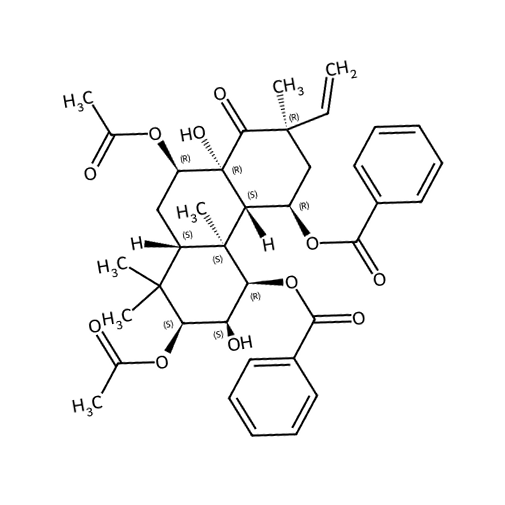 C=C[C@@]1(C)C[C@@H](OC(=O)c2ccccc2)[C@H]2[C@](O)(C1=O)[C@H](OC(C)=O)C[C@H]1C(C)(C)[C@H](OC(C)=O)[C@H](O)[C@H](OC(=O)c3ccccc3)[C@@]12C